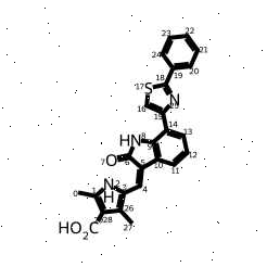 Cc1[nH]c(/C=C2\C(=O)Nc3c2cccc3-c2csc(-c3ccccc3)n2)c(C)c1C(=O)O